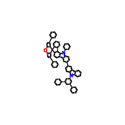 c1ccc(-c2cc(-c3ccccc3)cc(-n3c4ccccc4c4cc(-c5ccc6c(c5)c5ccc7c(c5n6-c5ccccc5)-c5ccccc5C75c6cc(-c7ccccc7)ccc6Oc6ccc(-c7ccccc7)cc65)ccc43)c2)cc1